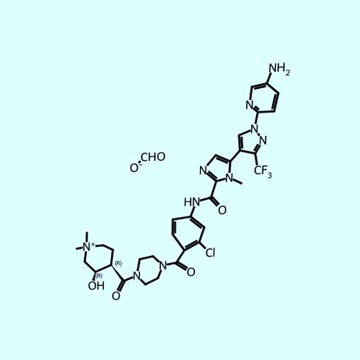 Cn1c(-c2cn(-c3ccc(N)cn3)nc2C(F)(F)F)cnc1C(=O)Nc1ccc(C(=O)N2CCN(C(=O)[C@@H]3CC[N+](C)(C)C[C@@H]3O)CC2)c(Cl)c1.O=C[O-]